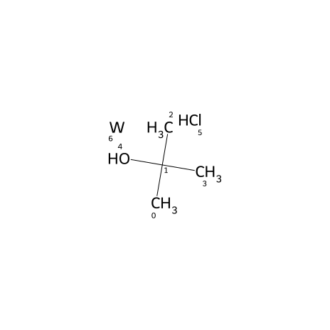 CC(C)(C)O.Cl.[W]